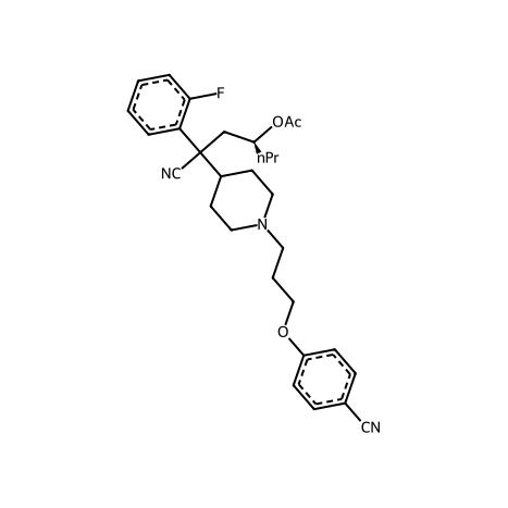 CCC[C@@H](CC(C#N)(c1ccccc1F)C1CCN(CCCOc2ccc(C#N)cc2)CC1)OC(C)=O